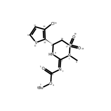 CN1/C(=N/C(=O)OC(C)(C)C)N[C@H](c2sccc2Cl)CS1(=O)=O